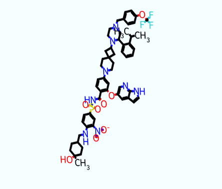 CC(C)c1ccccc1C1CN(Cc2ccc(OC(F)(F)F)cc2)CCN1C1CC2(CCN(c3ccc(C(=O)NS(=O)(=O)c4ccc(NCC5CCC(C)(O)CC5)c([N+](=O)[O-])c4)c(Oc4cnc5[nH]ccc5c4)c3)CC2)C1